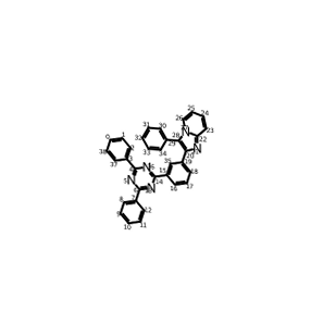 c1ccc(-c2nc(-c3ccccc3)nc(-c3cccc(-c4nc5ccccn5c4-c4ccccc4)c3)n2)cc1